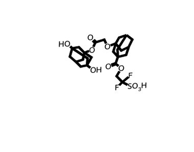 O=C(COC12CC3CC(C1)CC(C(=O)OCC(F)(F)S(=O)(=O)O)(C3)C2)OC12CC3CC(O)(CC(O)(C3)C1)C2